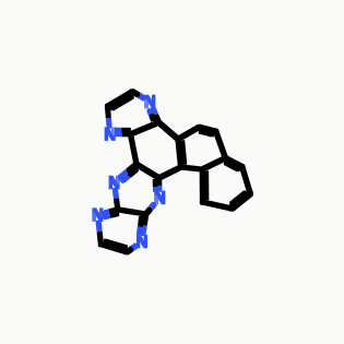 c1ccc2c(c1)ccc1c3nccnc3c3nc4nccnc4nc3c21